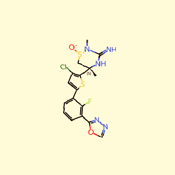 CN1C(=N)N[C@](C)(c2sc(-c3cccc(-c4nnco4)c3F)cc2Cl)C[S+]1[O-]